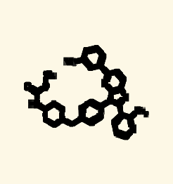 CC(C)(C)OC(=O)NC1CCN(Cc2ccc(-n3c(-c4cccnc4N)nc4ccc(-c5cccc(C#N)c5)nc43)cc2)CC1